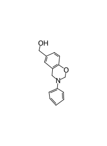 OCc1ccc2c(c1)CN(c1ccccc1)CO2